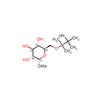 CCCC(C)(C)[Si](C)(C)OC[C@H]1O[C@H](OC)[C@H](O)[C@@H](O)[C@@H]1O